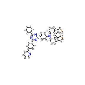 c1ccc(-c2nc(-c3ccc(-c4ccccn4)cc3)nc(-c3ccc(N4c5ccccc5C5(c6ccccc64)c4ccsc4-c4sccc45)cc3)n2)cc1